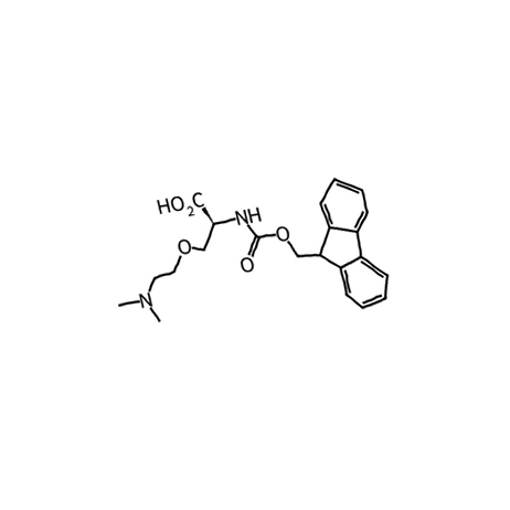 CN(C)CCOC[C@H](NC(=O)OCC1c2ccccc2-c2ccccc21)C(=O)O